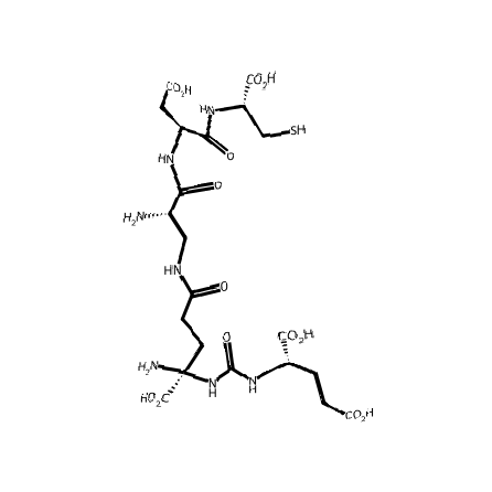 N[C@@H](CNC(=O)CC[C@](N)(NC(=O)N[C@@H](CCC(=O)O)C(=O)O)C(=O)O)C(=O)N[C@@H](CC(=O)O)C(=O)N[C@@H](CS)C(=O)O